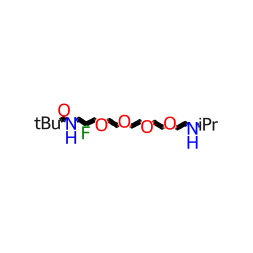 CC(C)NCCOCCOCCOCCOCC(F)CNC(=O)C(C)(C)C